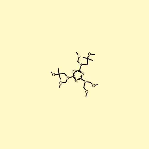 COCN(COC)c1nc(N(COC)CC(C)(C)OC)nc(N(COC)CC(C)(C)OC)n1